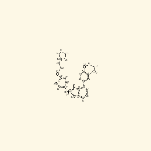 c1cc(-c2ccc3c(c2)OCCO3)n2nc(Nc3ccc(OCCN4CCCC4)nc3)nc2c1